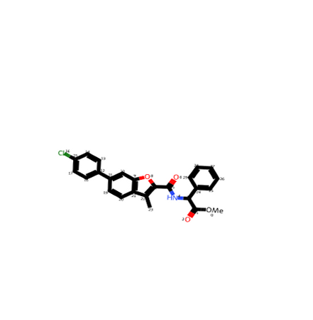 COC(=O)C(NC(=O)c1oc2cc(-c3ccc(Cl)cc3)ccc2c1C)c1ccccc1